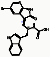 O=C(O)N[C@H](/C=C1\C(=O)Nc2ncc(Br)cc21)Cc1c[nH]c2ccccc12